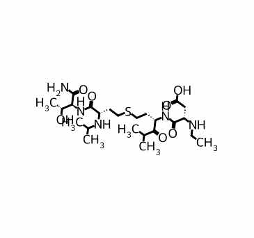 CCN[C@@H](CC(=O)O)C(=O)N[C@@H](CCSCC[C@H](NC(C)C)C(=O)N[C@H](C(N)=O)[C@@H](C)O)C(=O)C(C)C